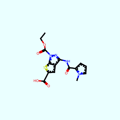 CCOC(=O)n1nc(NC(=O)c2cccn2C)c2cc(C(=O)O)sc21